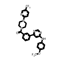 O=C(c1cccc(-c2cc(Nc3ccc(OC(F)(F)F)cc3)ncn2)c1)N1CCN(c2ccc(C(F)(F)F)cn2)CC1